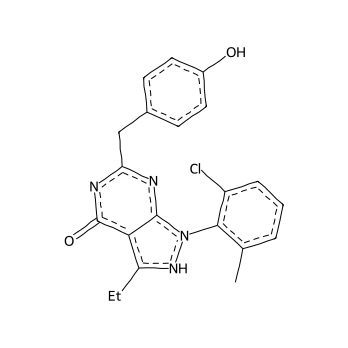 CCc1[nH]n(-c2c(C)cccc2Cl)c2nc(Cc3ccc(O)cc3)nc(=O)c1-2